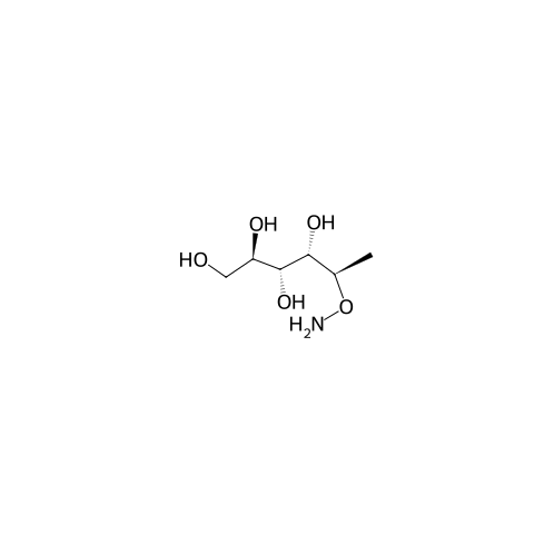 C[C@@H](ON)[C@@H](O)[C@H](O)[C@H](O)CO